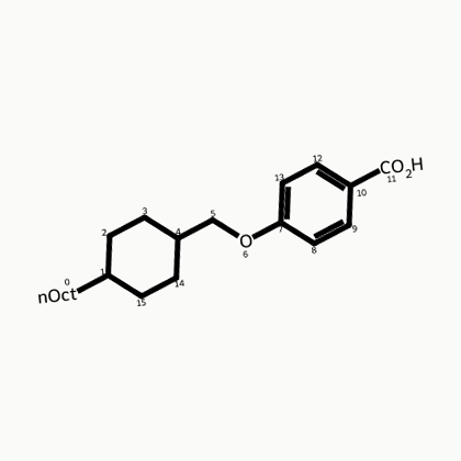 CCCCCCCCC1CCC(COc2ccc(C(=O)O)cc2)CC1